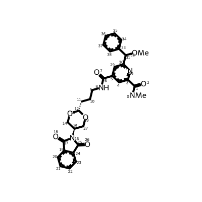 CNC(=O)c1cc(C(=O)NCCC[C@H]2OC[C@H](N3C(=O)c4ccccc4C3=O)CO2)cc(C(OC)c2ccccc2)n1